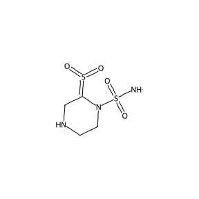 [NH]S(=O)(=O)N1CCNCC1=S(=O)=O